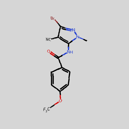 Cn1nc(Br)c(C#N)c1NC(=O)c1ccc(OC(F)(F)F)cc1